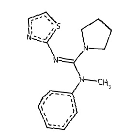 CN(C(=Nc1nccs1)N1CCCC1)c1ccccc1